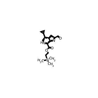 C[Si](C)(C)CCOC(=O)c1[nH]cc(C2CC2)c2cc(C=O)nc1-2